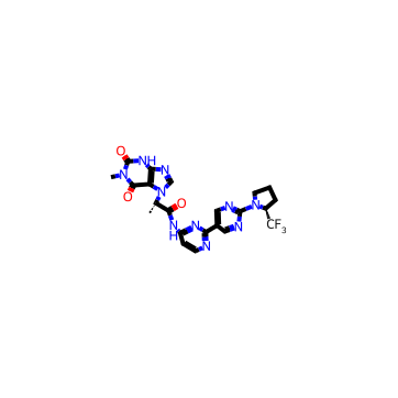 C[C@@H](C(=O)Nc1ccnc(-c2cnc(N3CCC[C@H]3C(F)(F)F)nc2)n1)n1cnc2[nH]c(=O)n(C)c(=O)c21